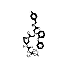 CC(C)(C)OC(=O)NC1CCN(C(=O)CN(CC(=O)NCc2ccc(Cl)cc2)c2ccccc2Oc2ccccc2)C1